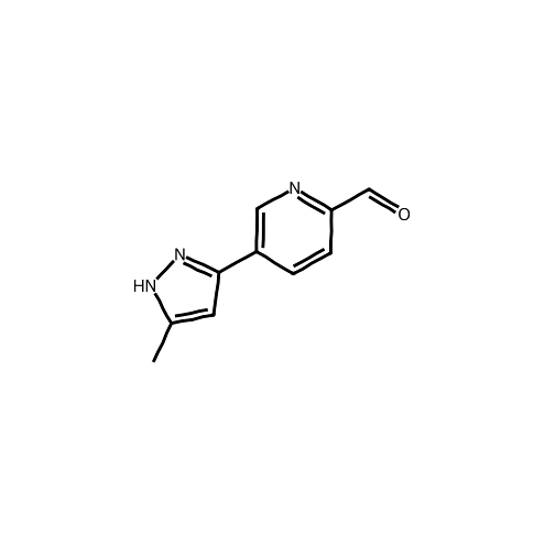 Cc1cc(-c2ccc(C=O)nc2)n[nH]1